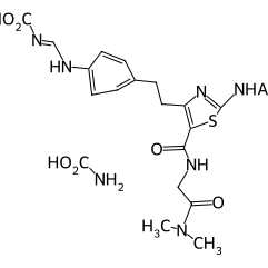 CC(=O)Nc1nc(CCc2ccc(NC=NC(=O)O)cc2)c(C(=O)NCC(=O)N(C)C)s1.NC(=O)O